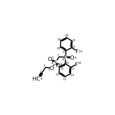 C#CCOS(=O)(=O)CP(=O)(c1ccccc1F)c1ccccc1F